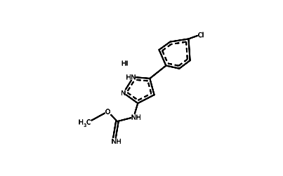 COC(=N)Nc1cc(-c2ccc(Cl)cc2)[nH]n1.I